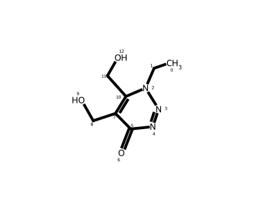 CCn1nnc(=O)c(CO)c1CO